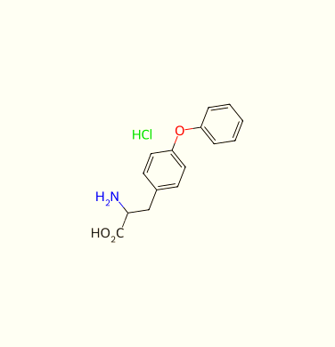 Cl.NC(Cc1ccc(Oc2ccccc2)cc1)C(=O)O